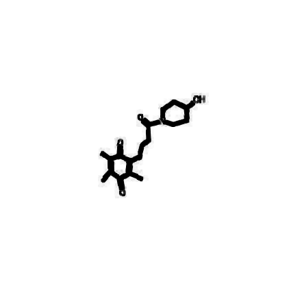 CC1=C(C)C(=O)C(CCCC(=O)N2CCC(O)CC2)=C(C)C1=O